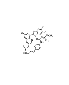 C[C@H](Oc1cc2sc(-c3cc(Cl)cc4cc(OC(F)F)cnc34)nc2cc1F)[C@@H](C)OC(=O)Nc1cnc(OCCO)nc1